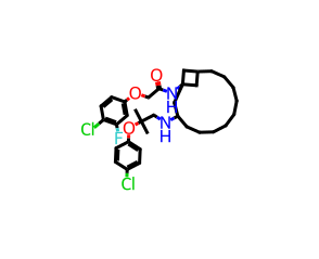 CC(C)(CNC1CCCCCCCCCC2CC(NC(=O)COc3ccc(Cl)c(F)c3)(C2)C1)Oc1ccc(Cl)cc1